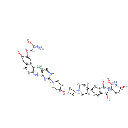 CC(=O)/C(=C\c1cc(Nc2nc(N3CCC(O[C@H]4C[C@H](N5CCC6(c7ccc8c(c7)C(=O)N(C7CCC(=O)NC7=O)C8=O)CC6C5)C4)CC3)ncc2Cl)ccc1C)OCC(N)=O